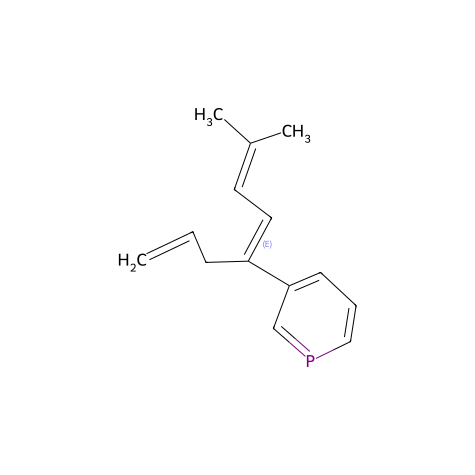 C=CC/C(=C\C=C(C)C)c1cccpc1